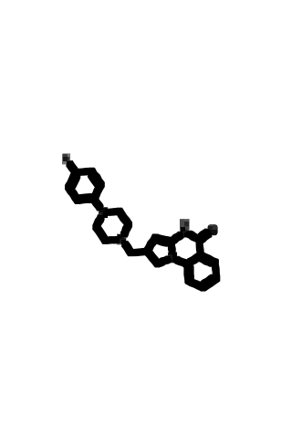 O=C1NC2=CC(CN3CCN(c4ccc(F)cc4)CC3)CN2c2ccccc21